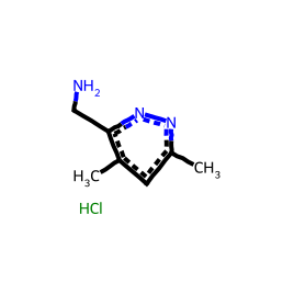 Cc1cc(C)c(CN)nn1.Cl